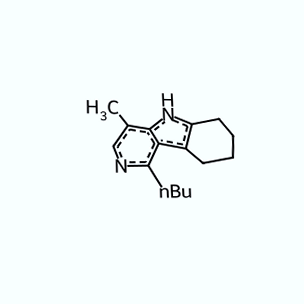 CCCCc1ncc(C)c2[nH]c3c(c12)CCCC3